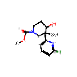 CC(C)(C)OC(=O)N1CCC(O)C(C(=O)O)(c2cccc(Cl)n2)C1